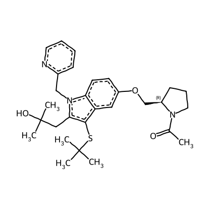 CC(=O)N1CCC[C@@H]1COc1ccc2c(c1)c(SC(C)(C)C)c(CC(C)(C)O)n2Cc1ccccn1